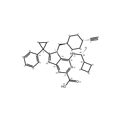 C#C[C@H]1CC[C@H](Cn2c(C3(c4ccccc4)CC3)nc3nc(C(=O)O)nc(N[C@H](C)C4CCC4)c32)CC1